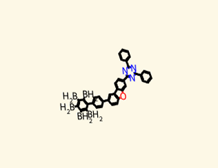 Bc1c(B)c(B)c(-c2ccc(-c3ccc4oc5cc(-c6nc(-c7ccccc7)nc(-c7ccccc7)n6)ccc5c4c3)cc2)c(B)c1B